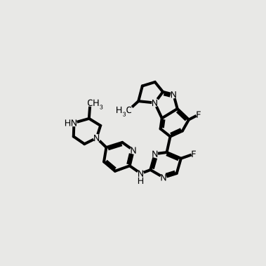 CC1CN(c2ccc(Nc3ncc(F)c(-c4cc(F)c5nc6n(c5c4)C(C)CC6)n3)nc2)CCN1